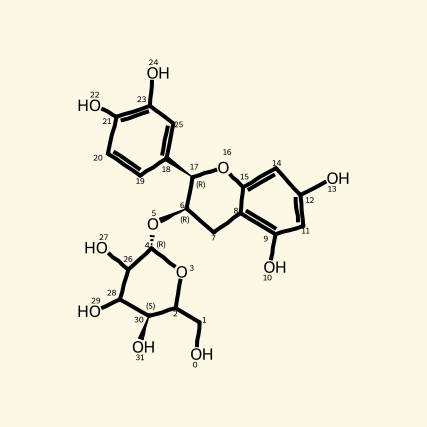 OCC1O[C@@H](O[C@@H]2Cc3c(O)cc(O)cc3O[C@@H]2c2ccc(O)c(O)c2)C(O)C(O)[C@@H]1O